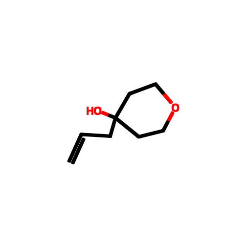 C=CCC1(O)CCOCC1